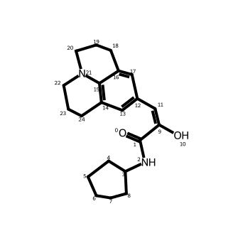 O=C(NC1CCCCC1)/C(O)=C\c1cc2c3c(c1)CCCN3CCC2